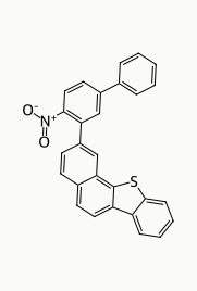 O=[N+]([O-])c1ccc(-c2ccccc2)cc1-c1ccc2ccc3c4ccccc4sc3c2c1